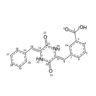 O=C(O)c1cccc(C=c2[nH]c(=O)c(=Cc3ccccc3)[nH]c2=O)c1